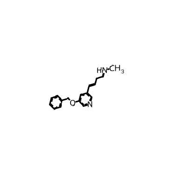 CNCC/C=C/c1cncc(OCc2ccccc2)c1